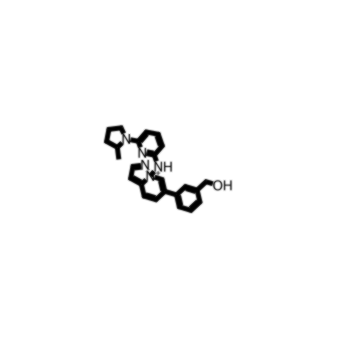 CC1CCCN1c1cccc(N[N+]23C=C(c4cccc(CO)c4)C=CC2=CC=N3)n1